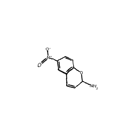 NC1C=Cc2cc([N+](=O)[O-])ccc2O1